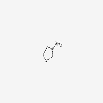 NN1CCSC1